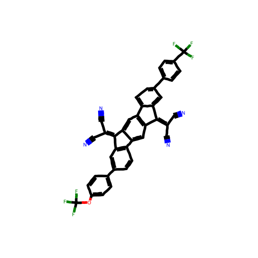 N#CC(C#N)=C1c2cc(-c3ccc(OC(F)(F)F)cc3)ccc2-c2cc3c(cc21)-c1ccc(-c2ccc(C(F)(F)F)cc2)cc1C3=C(C#N)C#N